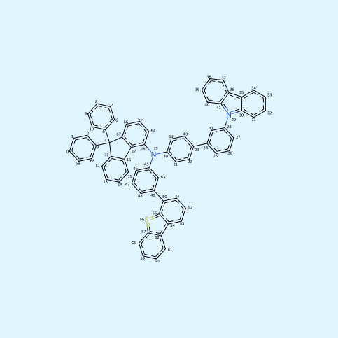 c1ccc(C2(c3ccccc3)c3ccccc3-c3c(N(c4ccc(-c5cccc(-n6c7ccccc7c7ccccc76)c5)cc4)c4cccc(-c5cccc6c5sc5ccccc56)c4)cccc32)cc1